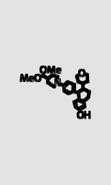 COC(OC)C1CCN(c2ccc(C3c4ccc(O)cc4CCC3C3CCOCC3)cc2)CC1